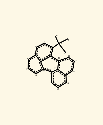 CC(C)(C)c1ccc2cccc3c4cccc5cccc(c1c23)c54